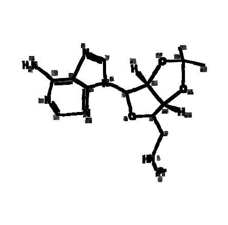 CC(C)NCC1OC(n2cnc3c(N)ncnc32)[C@@H]2OC(C)(C)O[C@H]12